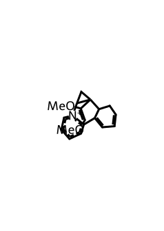 CO/C=C(\OC)C12CC1[n+]1ccccc1C1=CC=CCC12